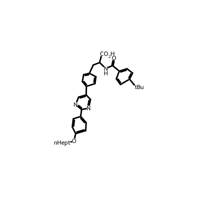 CCCCCCCOc1ccc(-c2ncc(-c3ccc(CC(NC(=O)c4ccc(C(C)(C)C)cc4)C(=O)O)cc3)cn2)cc1